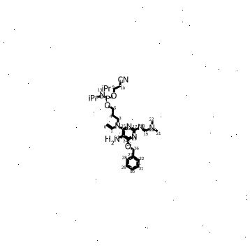 C=CN(CCCOP(OCCC#N)N(C(C)C)C(C)C)c1nc(/N=C/N(C)C)nc(OCc2ccccc2)c1N